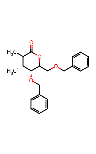 CC1C(=O)OC(COCc2ccccc2)[C@H](OCc2ccccc2)[C@@H]1C